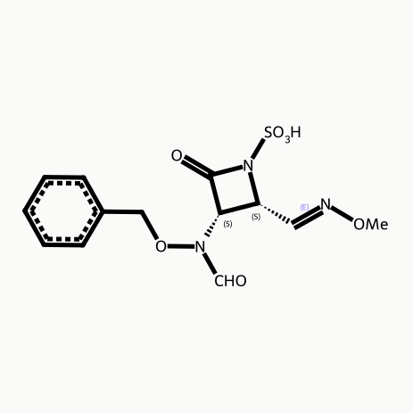 CO/N=C/[C@@H]1[C@H](N(C=O)OCc2ccccc2)C(=O)N1S(=O)(=O)O